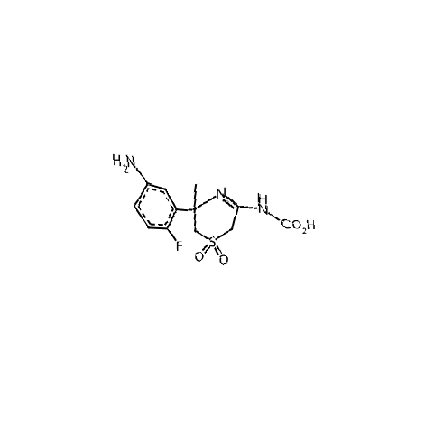 CC1(c2cc(N)ccc2F)CS(=O)(=O)CC(NC(=O)O)=N1